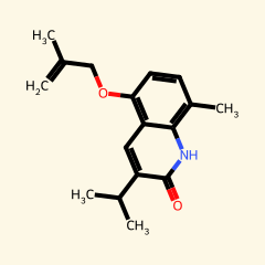 C=C(C)COc1ccc(C)c2[nH]c(=O)c(C(C)C)cc12